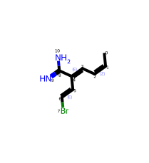 C\C=C/C=C(\C=C\Br)C(=N)N